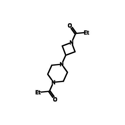 CCC(=O)N1CCN(C2CN(C(=O)CC)C2)CC1